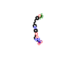 O=[N+]([O-])c1cn2c(n1)OC(COc1ccc(N3CCC(CCCc4ccc(OC(F)(F)F)cc4)CC3)cc1)CC2